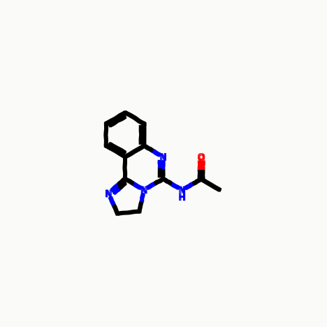 CC(=O)NC1=Nc2ccccc2C2=NCCN12